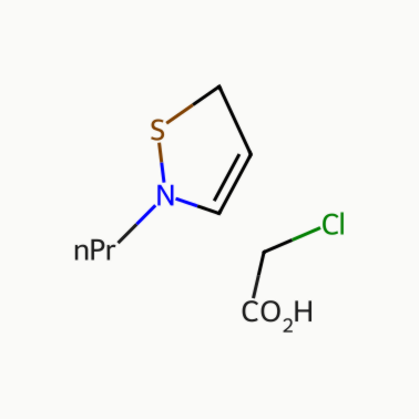 CCCN1C=CCS1.O=C(O)CCl